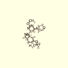 COc1nc(N2CC3CC2CO3)cc(-n2ncc3ccc(OC4(C)CC4)cc32)n1